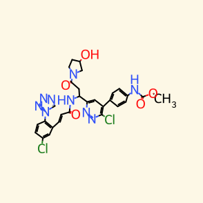 COC(=O)Nc1ccc(-c2cc(C(CC(=O)N3CCC(O)C3)NC(=O)C=Cc3cc(Cl)ccc3-n3cnnn3)nnc2Cl)cc1